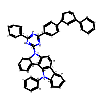 c1ccc(-c2cccc(-c3ccc(-c4nc(-c5ccccc5)nc(-n5c6ccccc6c6c5ccc5c7ccccc7n(-c7ccccc7)c56)n4)cc3)c2)cc1